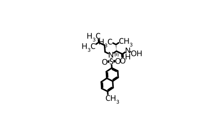 Cc1ccc2cc(S(=O)(=O)N(CCC(C)C)[C@@H](C(=O)NO)C(C)C)ccc2c1